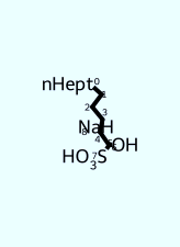 CCCCCCCCCCCC(O)S(=O)(=O)O.[NaH]